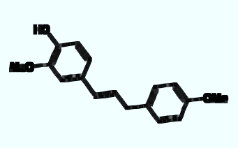 COc1ccc(CC=Cc2ccc(O)c(OC)c2)cc1